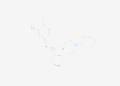 Cc1ccc(C(=O)N2CC3(CCN(C4CCCC[C@@H]4O)CC3)c3ccccc32)cc1[N+](=O)[O-]